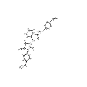 COc1ccc(CNC(=O)c2cnccc2CN2C(=O)N(c3ccc(SC(F)(F)F)cc3)C(=O)C2C)cc1